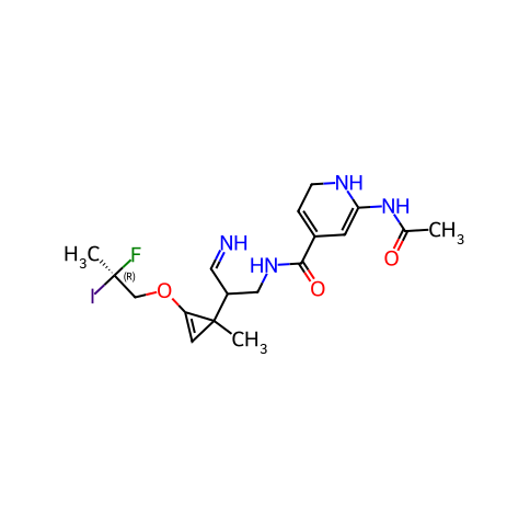 CC(=O)NC1=CC(C(=O)NCC(C=N)C2(C)C=C2OC[C@](C)(F)I)=CCN1